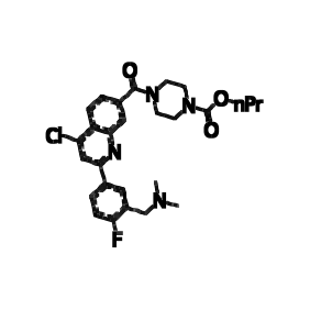 CCCOC(=O)N1CCN(C(=O)c2ccc3c(Cl)cc(-c4ccc(F)c(CN(C)C)c4)nc3c2)CC1